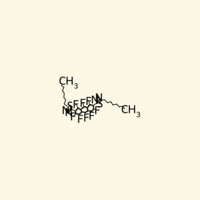 CCCCCCCCc1nnc(-c2c(F)c(F)c3c(F)c4c(F)c(F)c(-c5nnc(CCCCCCCC)s5)c(F)c4c(F)c3c2F)s1